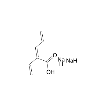 C=CC=C(C=C)C(=O)O.[NaH].[NaH]